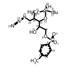 Cc1ccc(S(=O)(=O)OCC(O)C(O[Si](C)(C)C(C)(C)C)C(C)CN=[N+]=[N-])cc1